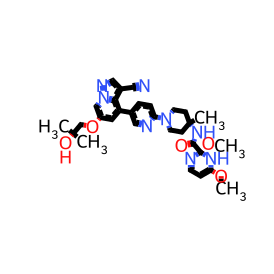 COC1=CC=NC(OC)(C(=O)NC2(C)CCN(c3ccc(-c4cc(OCC(C)(C)O)cn5ncc(C#N)c45)cn3)CC2)N1